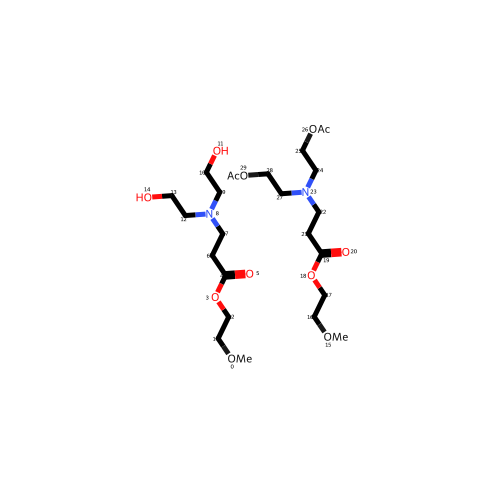 COCCOC(=O)CCN(CCO)CCO.COCCOC(=O)CCN(CCOC(C)=O)CCOC(C)=O